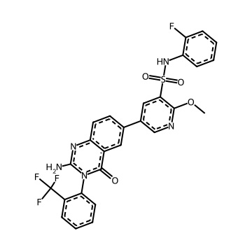 COc1ncc(-c2ccc3nc(N)n(-c4ccccc4C(F)(F)F)c(=O)c3c2)cc1S(=O)(=O)Nc1ccccc1F